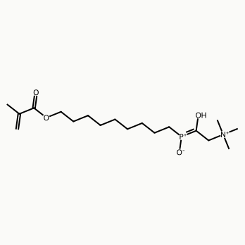 C=C(C)C(=O)OCCCCCCCCC/[P+]([O-])=C(\O)C[N+](C)(C)C